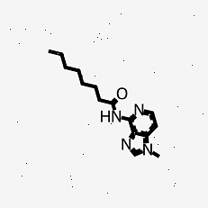 CCCCCCCC(=O)Nc1nccc2c1ncn2C